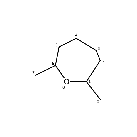 CC1CCCCC(C)O1